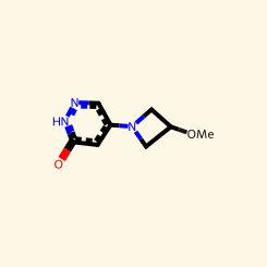 COC1CN(c2cn[nH]c(=O)c2)C1